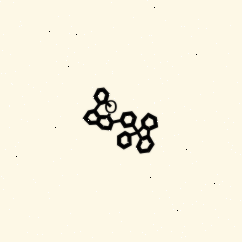 c1ccc(C2(c3cccc(-c4ccc5cccc6c5c4Oc4ccccc4-6)c3)c3ccccc3-c3ccccc32)cc1